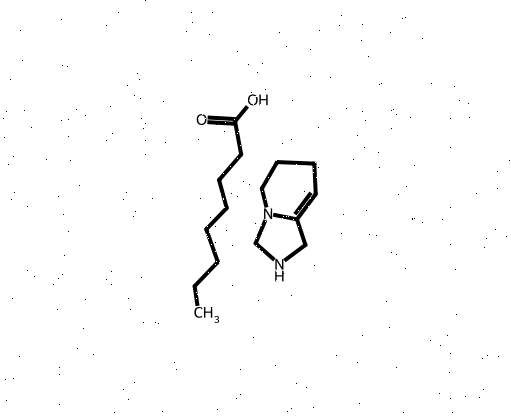 C1=C2CNCN2CCC1.CCCCCCCC(=O)O